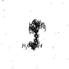 COC(=O)N[C@H](C(=O)N1CC(F)(F)C[C@H]1c1ncc(-c2ccc(-c3ccc4c(c3)CCc3[nH]c([C@@H]5CCCN5C(=O)CC(C)C)nc3-4)cc2)[nH]1)C(C)C